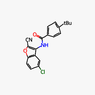 CC(C)(C)c1ccc(C(=O)Nc2c(C#N)oc3ccc(Cl)cc23)cc1